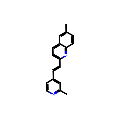 Cc1ccc2nc(/C=C/c3ccnc(C)c3)ccc2c1